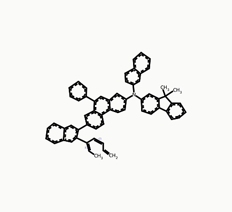 C=C/C=C\C(=C/C)c1cc2ccccc2cc1-c1ccc2c(c1)c(-c1ccccc1)cc1cc(N(c3ccc4c(c3)C(C)(C)c3ccccc3-4)c3ccc4ccccc4c3)ccc12